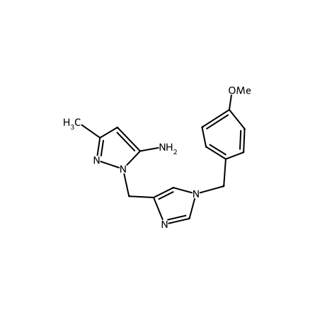 COc1ccc(Cn2cnc(Cn3nc(C)cc3N)c2)cc1